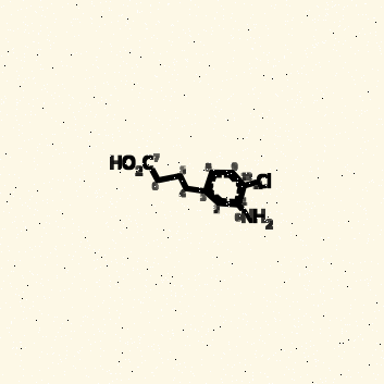 Nc1cc(CCCC(=O)O)ccc1Cl